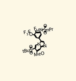 CCCS(=O)(=O)Nc1cc(-c2cnc3cc(OC)c(S(=O)(=O)C(C)(C)C)cn23)cc(OC(F)(F)F)c1F